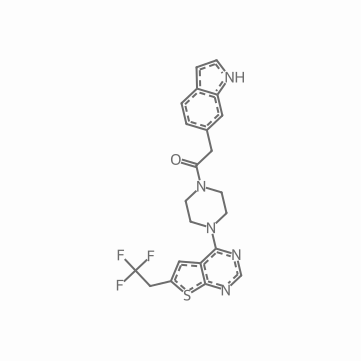 O=C(Cc1ccc2cc[nH]c2c1)N1CCN(c2ncnc3sc(CC(F)(F)F)cc23)CC1